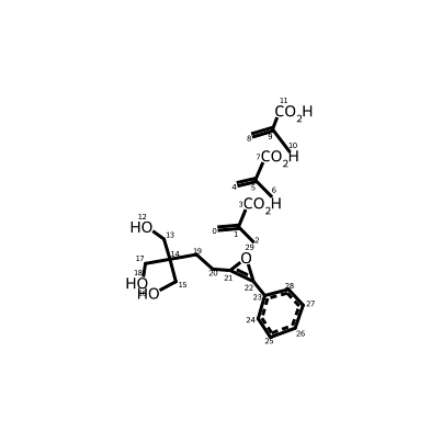 C=C(C)C(=O)O.C=C(C)C(=O)O.C=C(C)C(=O)O.OCC(CO)(CO)CCC1=C(c2ccccc2)O1